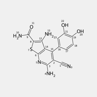 N#Cc1c(N)nc2sc(C(N)=O)c(N)c2c1-c1ccc(O)c(O)c1